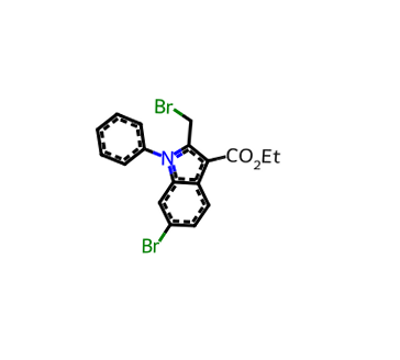 CCOC(=O)c1c(CBr)n(-c2ccccc2)c2cc(Br)ccc12